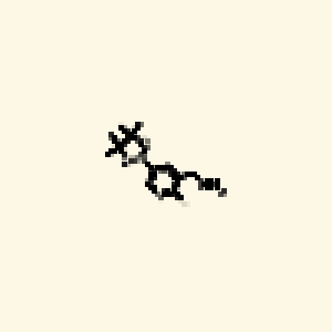 CC1(C)OB(c2cnc(F)c(CN)c2)OC1(C)C